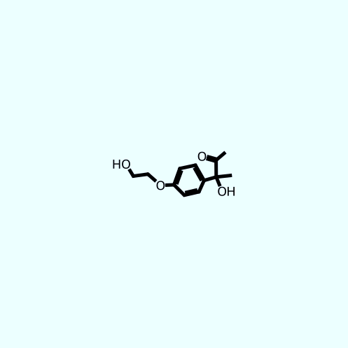 CC(=O)C(C)(O)c1ccc(OCCO)cc1